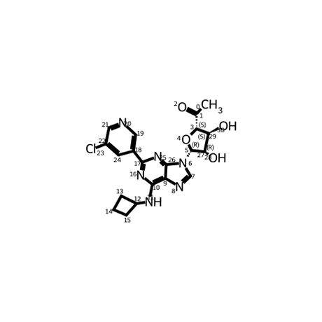 CC(=O)[C@H]1O[C@@H](n2cnc3c(NC4CCC4)nc(-c4cncc(Cl)c4)nc32)[C@H](O)[C@@H]1O